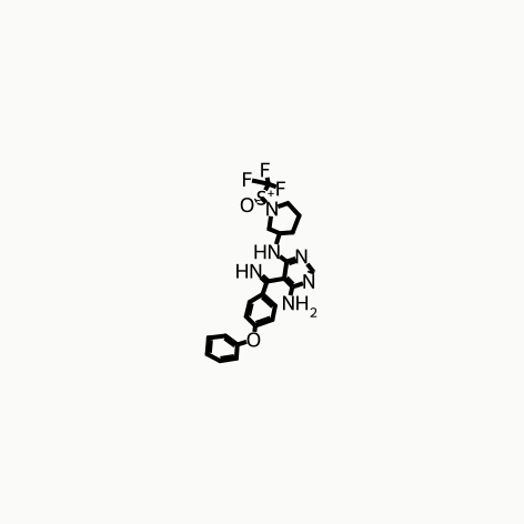 N=C(c1ccc(Oc2ccccc2)cc1)c1c(N)ncnc1NC1CCCN([S+]([O-])C(F)(F)F)C1